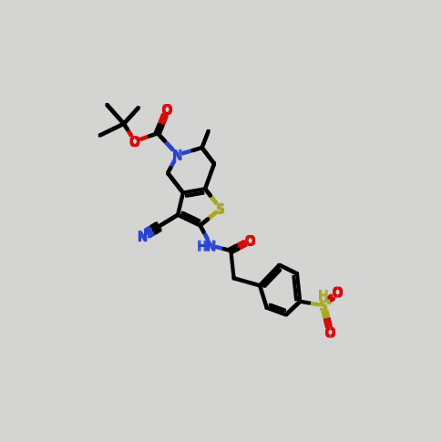 CC1Cc2sc(NC(=O)Cc3ccc([SH](=O)=O)cc3)c(C#N)c2CN1C(=O)OC(C)(C)C